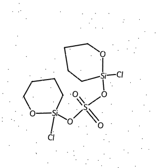 O=S(=O)(O[Si]1(Cl)CCCCO1)O[Si]1(Cl)CCCCO1